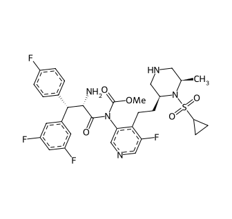 COC(=O)N(C(=O)[C@@H](N)[C@@H](c1ccc(F)cc1)c1cc(F)cc(F)c1)c1cncc(F)c1CC[C@H]1CNC[C@@H](C)N1S(=O)(=O)C1CC1